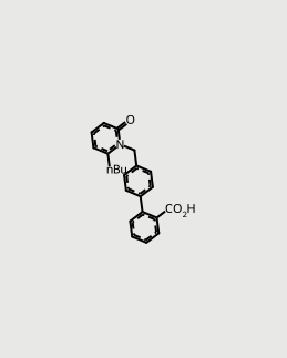 CCCCc1cccc(=O)n1Cc1ccc(-c2ccccc2C(=O)O)cc1